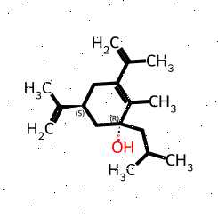 C=C(C)C1=C(C)[C@@](O)(CC(C)C)C[C@@H](C(=C)C)C1